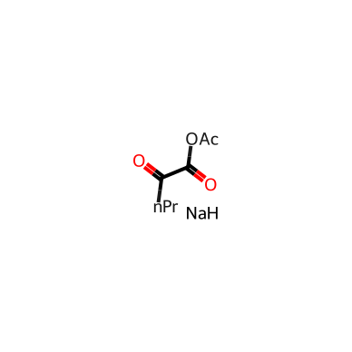 CCCC(=O)C(=O)OC(C)=O.[NaH]